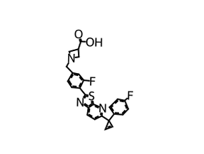 O=C(O)C1CN(Cc2ccc(-c3nc4ccc(C5(c6ccc(F)cc6)C=C5)nc4s3)c(F)c2)C1